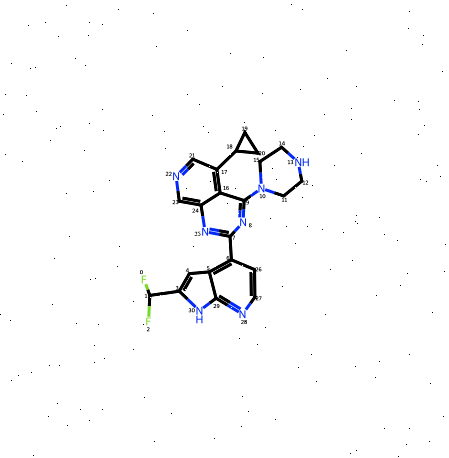 FC(F)c1cc2c(-c3nc(N4CCNCC4)c4c(C5CC5)cncc4n3)ccnc2[nH]1